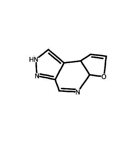 C1=CC2c3c[nH]nc3C=NC2O1